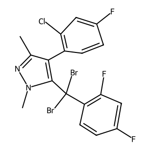 Cc1nn(C)c(C(Br)(Br)c2ccc(F)cc2F)c1-c1ccc(F)cc1Cl